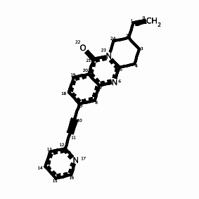 C=CC1CCc2nc3cc(C#Cc4ccccn4)ccc3c(=O)n2C1